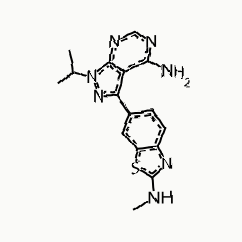 CNc1nc2ccc(-c3nn(C(C)C)c4ncnc(N)c34)cc2s1